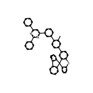 Cc1cc(-c2ccc3c(c2)C2(c4ccc#cc4-c4ccccc42)c2ccccc2S3)ccc1-c1cccc(-c2cc(-c3ccccc3)nc(-c3ccccc3)n2)c1